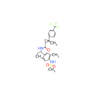 CCC(NC(=O)C1C[C@]1(C)c1ccc(C(F)(F)F)cc1)c1ccc(NS(C)(=O)=O)c(C)c1